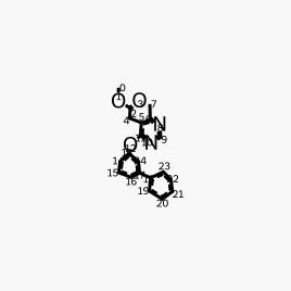 COC(=O)Cc1c(C)ncnc1Oc1cccc(-c2ccccc2)c1